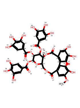 COc1cc2c(c(O)c1O)-c1c(cc(O)c(O)c1O)C(=O)O[C@@H]1C(COC2=O)O[C@@H](OC(=O)c2cc(O)c(O)c(O)c2)[C@@H](OC(=O)c2cc(O)c(O)c(O)c2)C1OC(=O)c1cc(O)c(O)c(O)c1